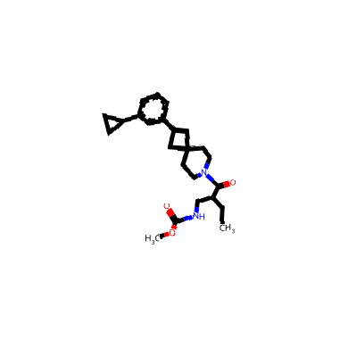 CCC(CNC(=O)OC)C(=O)N1CCC2(CC1)CC(c1cccc(C3CC3)c1)C2